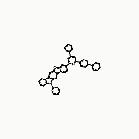 c1ccc(-c2ccc(-c3nc(-c4ccccc4)nc(-c4ccc5c(c4)oc4cc6c7ccccc7n(-c7ccccc7)c6cc45)n3)cc2)cc1